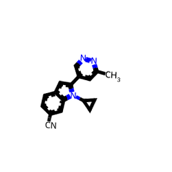 Cc1cc(-c2cc3ccc(C#N)cc3n2C2CC2)cnn1